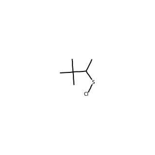 CC(SCl)C(C)(C)C